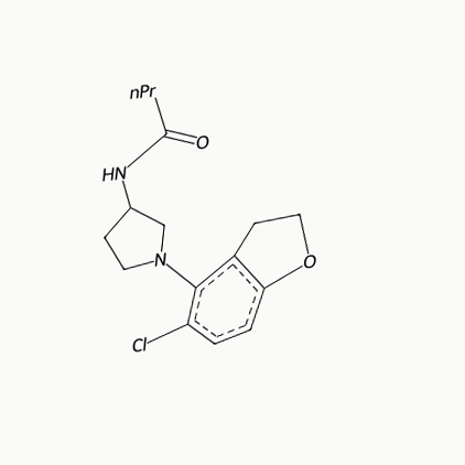 CCCC(=O)NC1CCN(c2c(Cl)ccc3c2CCO3)C1